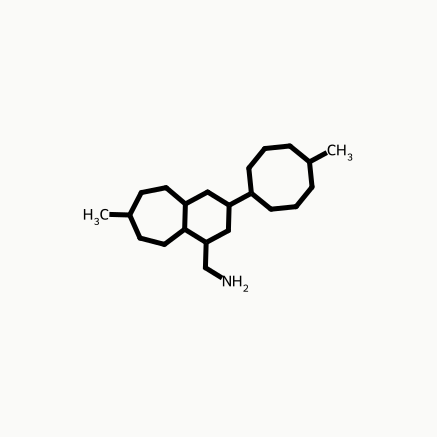 CC1CCCC(C2CC(CN)C3CCC(C)CCC3C2)CCC1